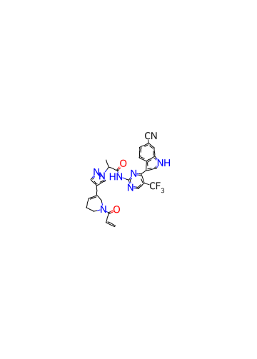 C=CC(=O)N1CCC=C(c2cnn(C(C)C(=O)Nc3ncc(C(F)(F)F)c(-c4c[nH]c5cc(C#N)ccc45)n3)c2)C1